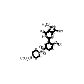 CCCc1nn(C)c2c(=O)[nH]c(-c3cc(S(=O)(=O)N4CCN(C(=O)OCC)CC4)ccc3OCC)nc12